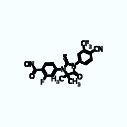 CC1(C)C(=O)N(c2ccc(C#N)c(C(F)(F)F)c2)C(=S)N1c1ccc(C(=O)N=O)c(F)c1